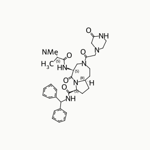 CN[C@@H](C)C(=O)N[C@H]1CN(C(=O)CN2CCNC(=O)C2)CC[C@H]2CC[C@@H](C(=O)NC(c3ccccc3)c3ccccc3)N2C1=O